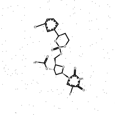 CCCC(=O)O[C@H]1C[C@H](n2cc(F)c(=O)[nH]c2=O)O[C@@H]1COP1(=O)OCCC(c2cccc(Cl)c2)O1